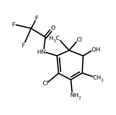 CC1=C(N)C(Cl)=C(NC(=O)C(F)(F)F)C(C)(Cl)C1O